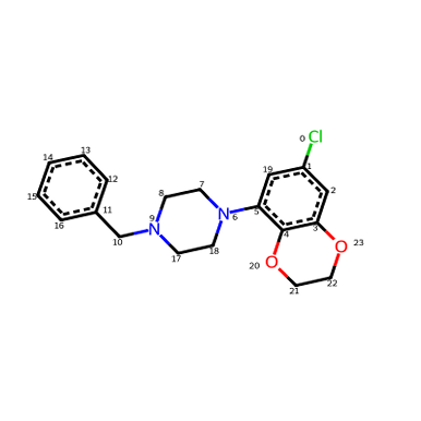 Clc1cc2c(c(N3CCN(Cc4ccccc4)CC3)c1)OCCO2